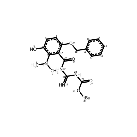 CN(C)c1c(C#N)ccc(OCc2ccccc2)c1C(=O)NC(=N)NC(=O)OC(C)(C)C